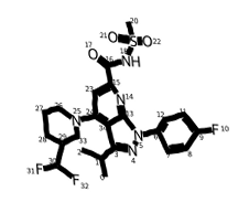 CC(C)c1nn(-c2ccc(F)cc2)c2nc(C(=O)NS(C)(=O)=O)cc(N3CCCC(C(F)F)C3)c12